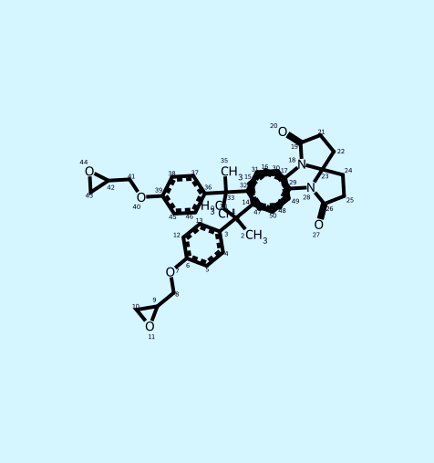 CC(C)(c1ccc(OCC2CO2)cc1)c1ccc(N2C(=O)CCC23CCC(=O)N3c2ccc(C(C)(C)c3ccc(OCC4CO4)cc3)cc2)cc1